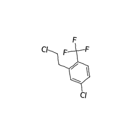 FC(F)(F)c1ccc(Cl)cc1CCCl